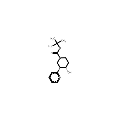 CC(C)(C)OC(=O)N1CC[C@H](O)[C@@H](c2ccccn2)C1